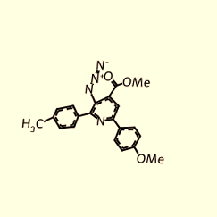 COC(=O)c1cc(-c2ccc(OC)cc2)nc(-c2ccc(C)cc2)c1N=[N+]=[N-]